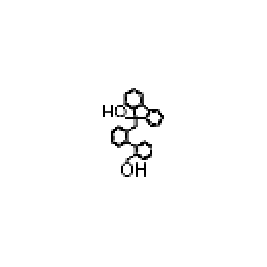 OCc1ccccc1-c1ccccc1CC1(CO)c2ccccc2-c2ccccc21